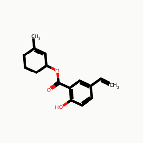 C=Cc1ccc(O)c(C(=O)OC2C=C(C)CCC2)c1